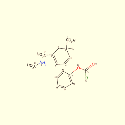 CC1(C(=O)O)C=CC=C(C(=O)O)C1.NC(=O)O.O=C(Cl)Oc1ccccc1